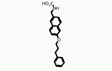 O=C(O)NCc1ccc2cc(OCCCc3ccccc3)ccc2c1